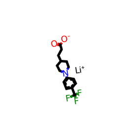 O=C([O-])CCC1CCN(c2ccc(C(F)(F)F)cc2)CC1.[Li+]